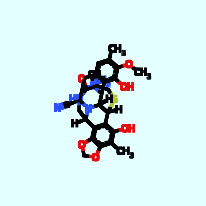 COc1c(C)cc2c(c1O)C1[C@@H]3[C@@H]4SCC(N)C(=O)NC[C@@H](c5c6c(c(C)c(O)c54)OCO6)N3[C@@H](C#N)C(C2)N1C